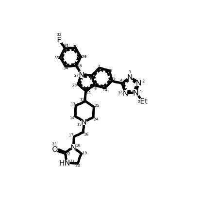 CCn1nnc(-c2ccc3c(c2)c(C2CCN(CCN4CCNC4=O)CC2)cn3-c2ccc(F)cc2)n1